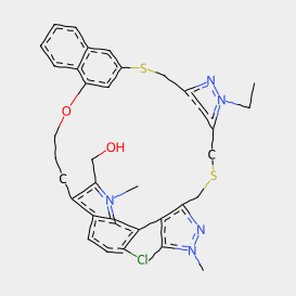 CCn1nc2cc1CSCc1nn(C)c(C)c1-c1c(Cl)ccc3c(c(CO)n(C)c13)CCCOc1cc(cc3ccccc13)SC2